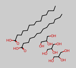 CCCCCCCCCCCCCC(=O)O.CCCCCCCCCCCCCC(=O)O.OCC(O)CO.OCC(O)CO.OCC(O)CO